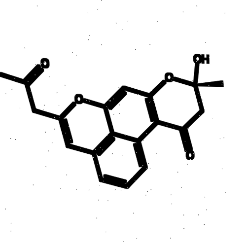 CC(=O)CC1=Cc2cccc3c4c(cc(c23)O1)O[C@](C)(O)CC4=O